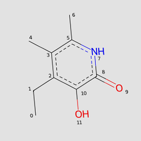 CCc1c(C)c(C)[nH]c(=O)c1O